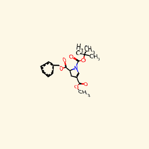 COC(=O)C1=CN(C(=O)OC(C)(C)C)C(C(=O)OCc2ccccc2)C1